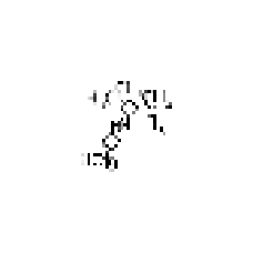 CC(C)c1cc(N=Nc2ccc(C(=O)O)cc2)cc(C(C)C)c1